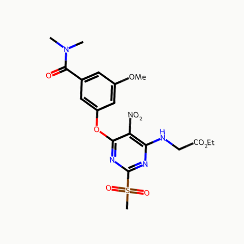 CCOC(=O)CNc1nc(S(C)(=O)=O)nc(Oc2cc(OC)cc(C(=O)N(C)C)c2)c1[N+](=O)[O-]